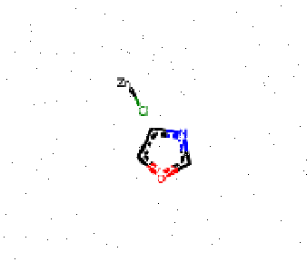 [Cl][Zn].c1cocn1